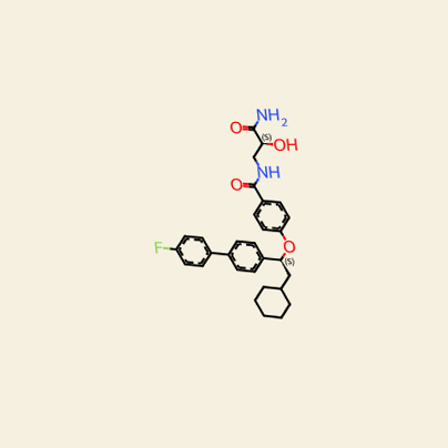 NC(=O)[C@@H](O)CNC(=O)c1ccc(O[C@@H](CC2CCCCC2)c2ccc(-c3ccc(F)cc3)cc2)cc1